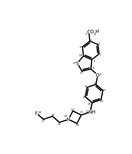 O=C(O)c1ccc2c(Oc3ccc(NC4CN(CCCF)C4)cc3)csc2c1